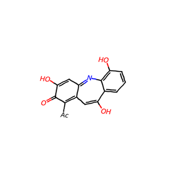 CC(=O)c1c2cc(O)c3cccc(O)c3nc-2cc(O)c1=O